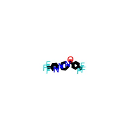 O=C(C1=CCC(C(F)(F)F)C=C1)N1CCCN(c2ccc(C(F)(F)F)cn2)CC1